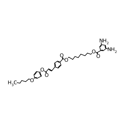 CCCCCOc1ccc(OC(=O)C=Cc2ccc(C(=O)OCCCCCCCCOC(=O)c3cc(N)cc(N)c3)cc2)cc1